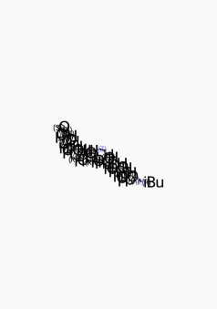 CC[C@@H](C)/C=C/[C@H]1C=CC[C@@H]2O[C@@H]3C[C@@H]4O[C@@H]5C=C[C@@H]6O[C@@H]7C[C@@H](C)[C@]8(C)O[C@@H]9C[C@H](C)C[C@@H]%10O[C@H]%11[C@H](C[C@H]%10O[C@H]9C[C@H]8O[C@H]7C/C=C\C[C@H]6O[C@H]5C=C[C@H]4O[C@H]3[C@H](C)[C@H]2O1)O[C@@H]1[C@@H](C)[C@H](C)[C@@]2(C[C@H](C)CO2)O[C@H]1C(C)[C@@H]%11C